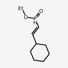 CCO[PH](=O)C=CC1CCCCC1